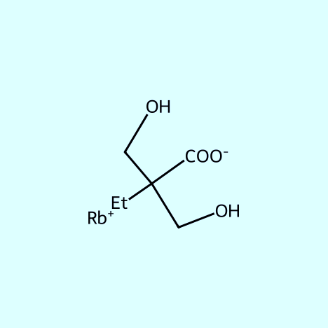 CCC(CO)(CO)C(=O)[O-].[Rb+]